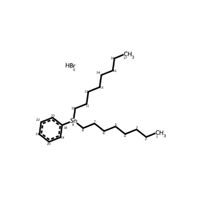 Br.CCCCCCC[CH2][Sn]([CH2]CCCCCCC)[c]1ccccc1